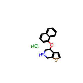 Cl.c1ccc2c(OC3CNCc4sccc43)cccc2c1